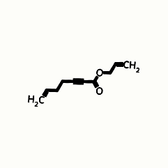 C=CCCC#CC(=O)OCC=C